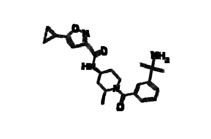 C[C@H]1C[C@@H](NC(=O)c2cc(C3CC3)on2)CCN1C(=O)c1cccc(C(C)(C)N)c1